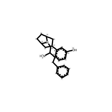 NC(CCc1ccccc1)CN1C2CCC1CC(c1cccc(O)c1)C2